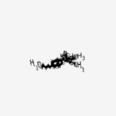 CCCCCCc1ccc2cc(C(=O)CC(COOCC)(COOCC)NC(C)=O)ccc2c1